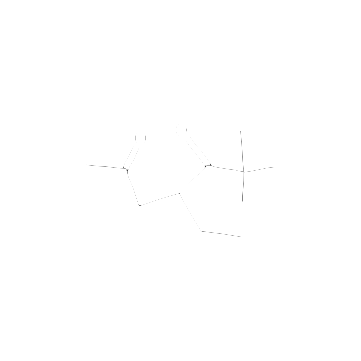 CCC(CC(C)=O)C(=O)C(C)(C)C